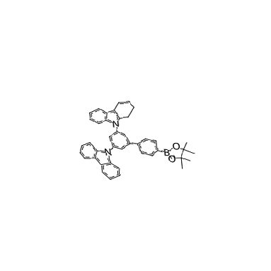 CC1(C)OB(c2ccc(-c3cc(-n4c5c(c6ccccc64)C=CCC5)cc(-n4c5ccccc5c5ccccc54)c3)cc2)OC1(C)C